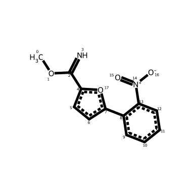 COC(=N)c1ccc(-c2ccccc2[N+](=O)[O-])o1